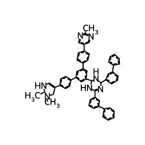 Cc1ncc(-c2ccc(-c3cc(-c4ccc(C5=CNC(C)N(C)C5)cc4)cc(C4NC(c5cccc(-c6ccccc6)c5)=NC(c5cccc(-c6ccccc6)c5)N4)c3)cc2)cn1